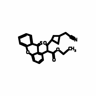 CCOC(=O)C(C(=O)C1CC(CC#N)C1)c1cccc2oc3ccccc3c(=S)c12